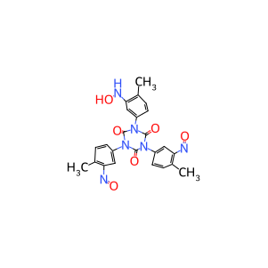 Cc1ccc(-n2c(=O)n(-c3ccc(C)c(N=O)c3)c(=O)n(-c3ccc(C)c(NO)c3)c2=O)cc1N=O